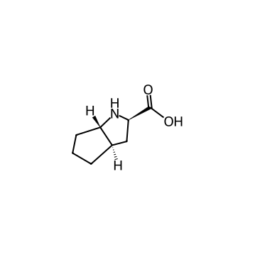 O=C(O)[C@H]1C[C@H]2CCC[C@@H]2N1